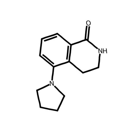 O=C1NCCc2c1cccc2N1CCCC1